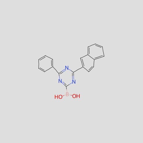 OB(O)c1nc(-c2ccccc2)nc(-c2ccc3ccccc3c2)n1